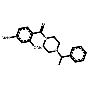 CNc1ccc(C(=O)N2CCN(C(C)c3ccccc3)CC2)c(OC)c1